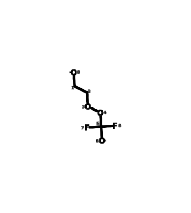 [O]CCOOC([O])(F)F